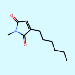 CCCCCCC1=CC(=O)N(C)C1=O